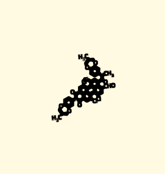 CC1COc2ccc(N(C)C(=O)c3cc(Cl)c4c5c(Cl)cc6c7c(cc(Cl)c(c8c(Cl)cc(C=O)c3c84)c75)C(=O)N(c3ccc4c(c3)OCC(C)CO4)C6=O)cc2OC1